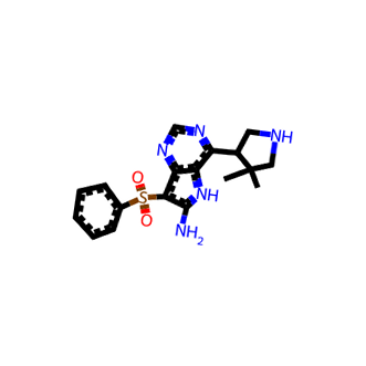 CC1(C)CNCC1c1ncnc2c(S(=O)(=O)c3ccccc3)c(N)[nH]c12